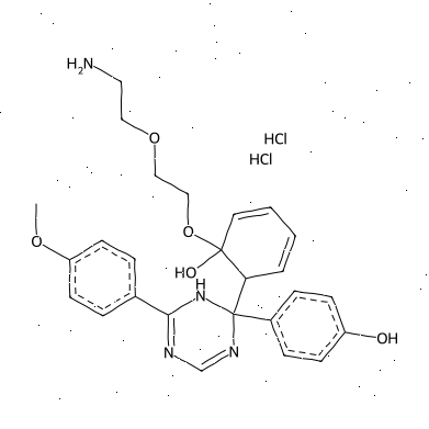 COc1ccc(C2=NC=NC(c3ccc(O)cc3)(C3C=CC=CC3(O)OCCOCCN)N2)cc1.Cl.Cl